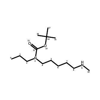 CCCN(CCCCCNC)C(=O)OC(C)(C)C